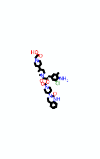 Cc1cc(C[C@@H](OC(=O)N2CCC(N3CCc4ccccc4NC3=O)CC2)C(=O)N(C)CCC(C)C2CCN(CC(=O)O)CC2)cc(Cl)c1N